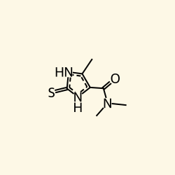 Cc1[nH]c(=S)[nH]c1C(=O)N(C)C